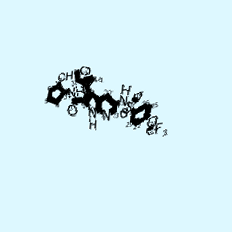 O=C(NC1CCCC1O)c1[nH]c2ncc(NS(=O)(=O)c3ccc(OC(F)(F)F)cc3)cc2c1-c1ccoc1